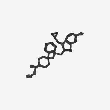 CCCCOC(=O)N1CCC(COCc2nc3cc(Br)ccc3n2CC2CC2)(c2ccccc2)CC1